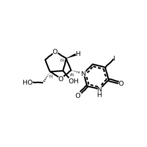 O=c1[nH]c(=O)n([C@@H]2O[C@@]3(CO)CO[C@H]2C3O)cc1I